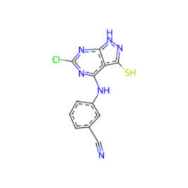 N#Cc1cccc(Nc2nc(Cl)nc3[nH]nc(S)c23)c1